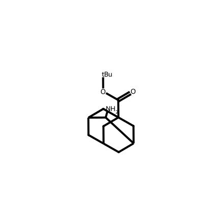 CC(C)(C)OC(=O)C12CC3CC(C1)C(N)C(C3)C2